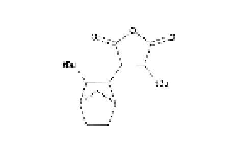 CC(C)(C)C1C(=O)OC(=O)C1C1C2CCC(C2)C1C(C)(C)C